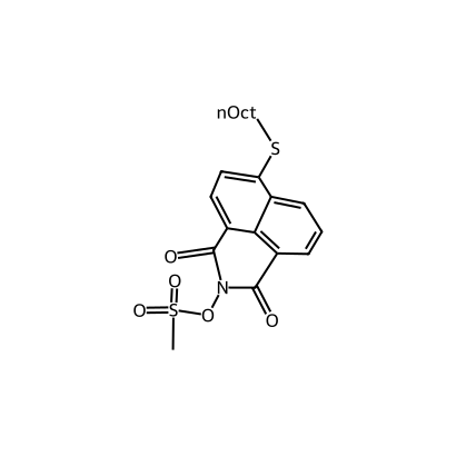 CCCCCCCCSc1ccc2c3c(cccc13)C(=O)N(OS(C)(=O)=O)C2=O